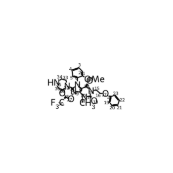 COc1ccccc1N1c2c(n(C)c(=O)n(CCOc3ccccc3)c2=O)N(OC(=O)C(F)(F)F)C1N1CCNCC1